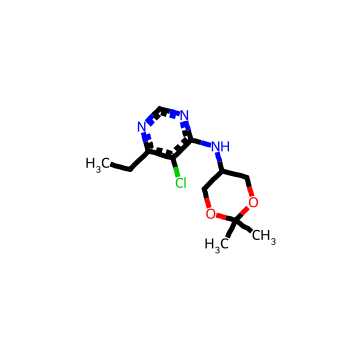 CCc1ncnc(NC2COC(C)(C)OC2)c1Cl